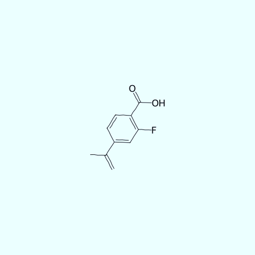 C=C(C)c1ccc(C(=O)O)c(F)c1